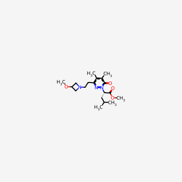 COC(=O)[C@H](CC(C)C)n1nc(CCN2CC(OC)C2)c(C)c(C)c1=O